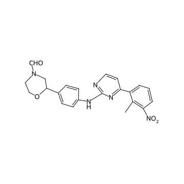 Cc1c(-c2ccnc(Nc3ccc(C4CN(C=O)CCO4)cc3)n2)cccc1[N+](=O)[O-]